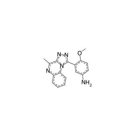 COc1ccc(N)cc1-c1nnc2c(C)nc3ccccc3n12